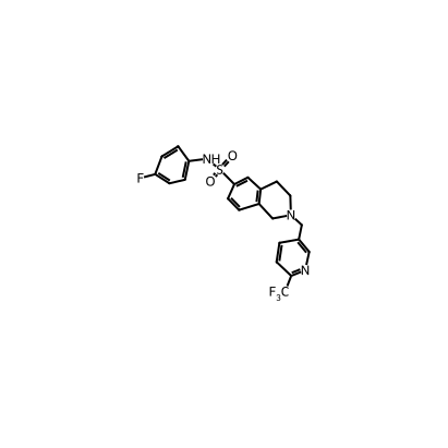 O=S(=O)(Nc1ccc(F)cc1)c1ccc2c(c1)CCN(Cc1ccc(C(F)(F)F)nc1)C2